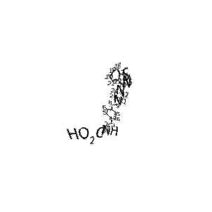 O=C(O)NCCC1CCC(CCN2CCN(c3nsc4ccccc34)CC2)CC1